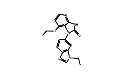 CCOc1ccnc2[nH]c(=O)n(-c3ccc4ncn(CC)c4c3)c12